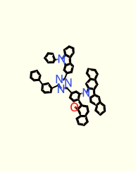 c1ccc(-c2cccc(-c3nc(-c4cc(-n5c6cc7ccccc7cc6c6cc7ccccc7cc65)c5c(c4)oc4c6ccccc6ccc45)nc(-c4ccc5c6ccccc6n(-c6ccccc6)c5c4)n3)c2)cc1